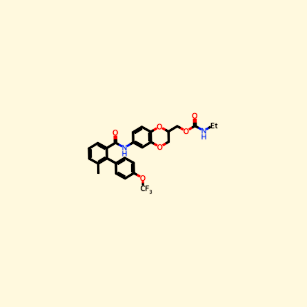 CCNC(=O)OCC1COc2cc(NC(=O)c3cccc(C)c3-c3ccc(OC(F)(F)F)cc3)ccc2O1